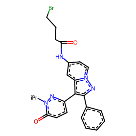 CC(C)n1nc(-c2c(-c3ccccc3)nn3ccc(NC(=O)CCCBr)cc23)ccc1=O